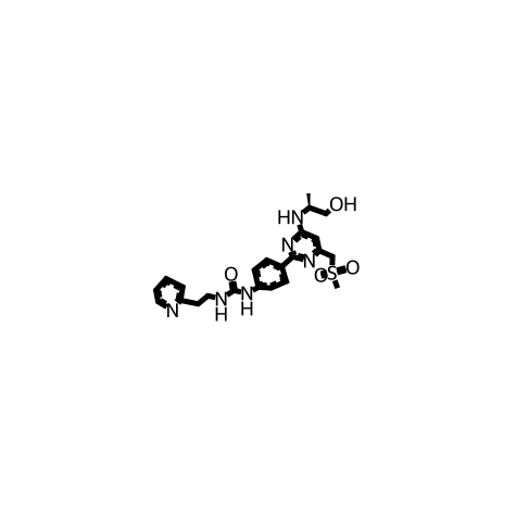 C[C@@H](CO)Nc1cc(CS(C)(=O)=O)nc(-c2ccc(NC(=O)NCCc3ccccn3)cc2)n1